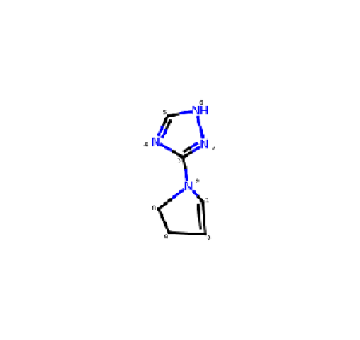 C1=CN(c2nc[nH]n2)CC1